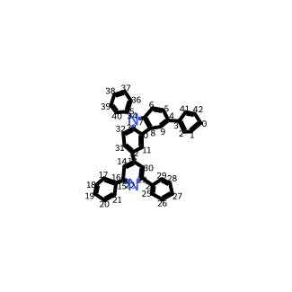 c1ccc(-c2ccc3c(c2)c2cc(-c4cc(-c5ccccc5)nc(-c5ccccc5)c4)ccc2n3-c2ccccc2)cc1